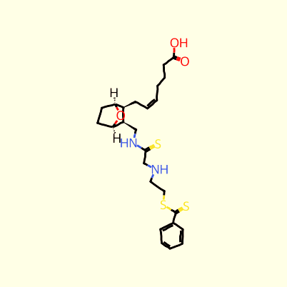 O=C(O)CCC/C=C\C[C@H]1[C@@H](CNC(=S)CNCCSC(=S)c2ccccc2)[C@H]2CC[C@@H]1O2